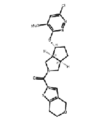 COc1cc(Cl)nnc1O[C@@H]1CC[C@H]2CN(C(=O)c3cc4c(s3)CCOC4)C[C@H]21